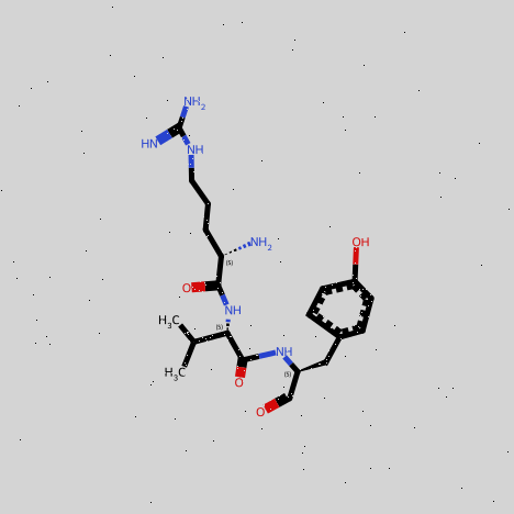 CC(C)[C@H](NC(=O)[C@@H](N)CCCNC(=N)N)C(=O)N[C@H](C=O)Cc1ccc(O)cc1